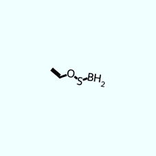 BSOC=C